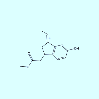 C/C=C1\CC(CC(=O)OC)c2ccc(O)cc21